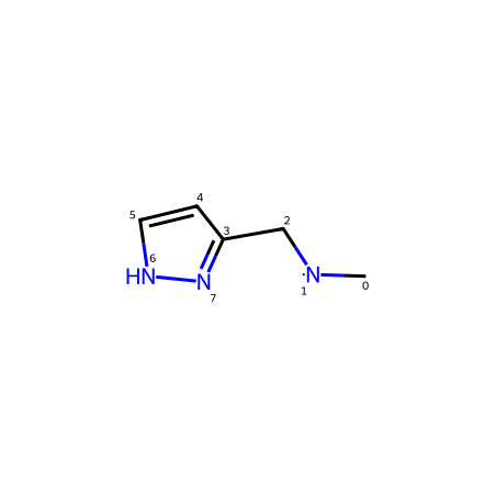 C[N]Cc1cc[nH]n1